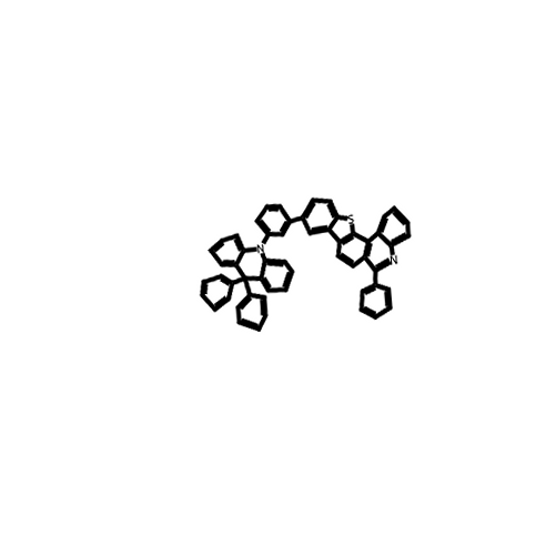 c1ccc(-c2nc3ccccc3c3c2ccc2c4cc(-c5cccc(N6c7ccccc7C(c7ccccc7)(c7ccccc7)c7ccccc76)c5)ccc4sc23)cc1